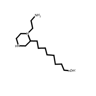 CCCCCCCCCCCCCCCCCCC1CNCCN1CCN